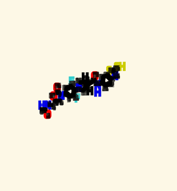 CC(=O)NC[C@H]1CN(c2cc(F)c(N3C[C@@H]4C(C(=O)Nc5ccc6nc(S)sc6c5)[C@@H]4C3)c(F)c2)C(=O)O1